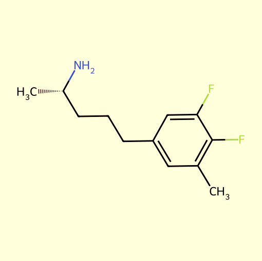 Cc1cc(CCC[C@H](C)N)cc(F)c1F